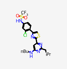 CCCCNc1cc(-c2nc(-c3ccc(NS(=O)(=O)C(F)(F)F)cc3Cl)cs2)nc(CC(C)C)n1